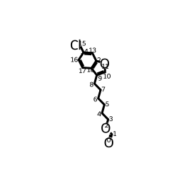 O=COCCCCCCc1coc2cc(Cl)ccc12